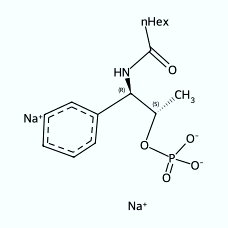 CCCCCCC(=O)N[C@H](c1ccccc1)[C@H](C)OP(=O)([O-])[O-].[Na+].[Na+]